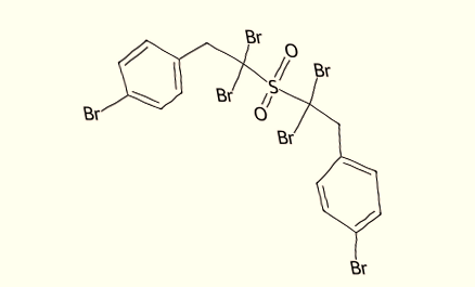 O=S(=O)(C(Br)(Br)Cc1ccc(Br)cc1)C(Br)(Br)Cc1ccc(Br)cc1